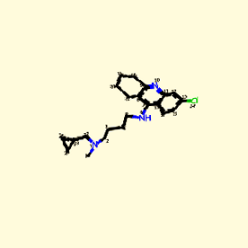 CN(CCCCNc1c2c(nc3cc(Cl)ccc13)CCCC2)CC1CC1